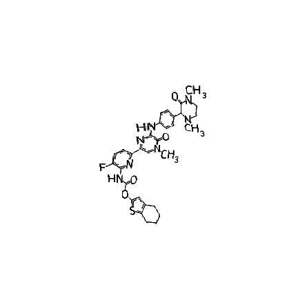 CN1CCN(C)C(c2ccc(Nc3nc(-c4ccc(F)c(NC(=O)Oc5cc6c(s5)CCCC6)n4)cn(C)c3=O)cc2)C1=O